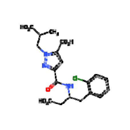 CC(Cn1nc(C(=O)NC(CC(=O)O)Cc2ccccc2Cl)cc1C(=O)O)C(=O)O